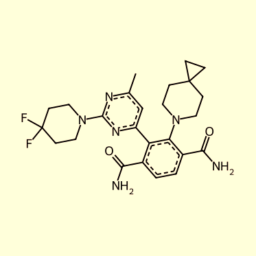 Cc1cc(-c2c(C(N)=O)ccc(C(N)=O)c2N2CCC3(CC2)CC3)nc(N2CCC(F)(F)CC2)n1